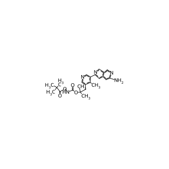 Cc1c(CC(C)(C)OC(=O)NOC(=O)C(C)(C)C)cncc1-c1cc2cc(N)ncc2cn1